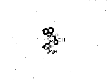 C#CCC(NC(=O)C(C)NC)C(=O)N1CCCC1C(=O)N[C@@H]1CCCc2ccccc21.Cl